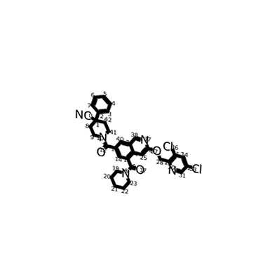 N#CC1(c2ccccc2)CCN(C(=O)c2cc(C(=O)N3CCCCC3)c3cc(OCc4ncc(Cl)cc4Cl)ncc3c2)CC1